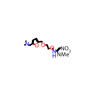 CNC(=C[N+](=O)[O-])NOCCOCc1ccc(CN(C)C)o1